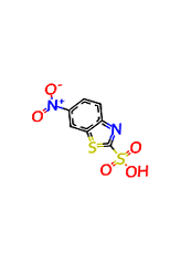 O=[N+]([O-])c1ccc2nc(S(=O)(=O)O)sc2c1